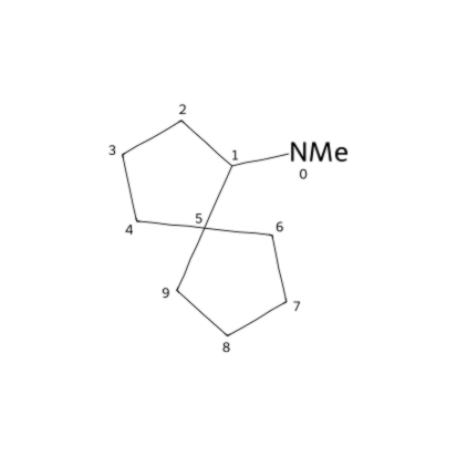 CNC1CCCC12CCCC2